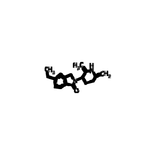 C=C1CCC(N2Cc3cc(CC)ccc3C2=O)C(=C)N1